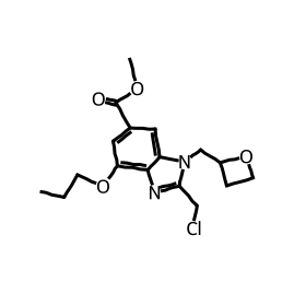 CCCOc1cc(C(=O)OC)cc2c1nc(CCl)n2CC1CCO1